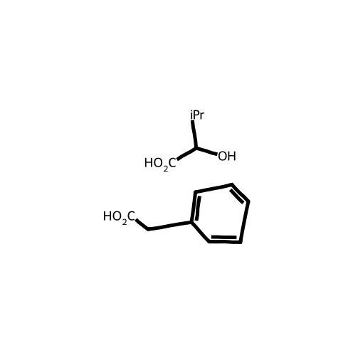 CC(C)C(O)C(=O)O.O=C(O)Cc1ccccc1